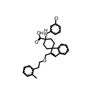 Cc1ccccc1CCOCC1=Cc2ccccc2C12CCC(Nc1cccc(Cl)c1)(C(=O)O)CC2